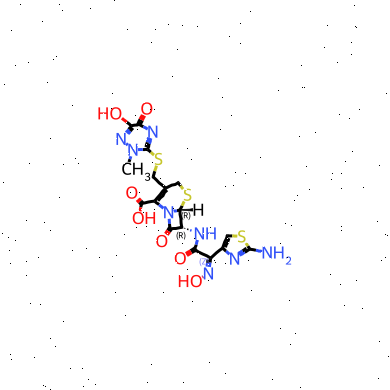 Cn1nc(O)c(=O)nc1SCC1=C(C(=O)O)N2C(=O)[C@@H](NC(=O)/C(=N\O)c3csc(N)n3)[C@H]2SC1